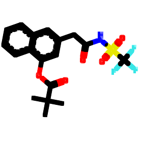 CC(C)(C)C(=O)Oc1cc(CC(=O)NS(=O)(=O)C(F)(F)F)cc2ccccc12